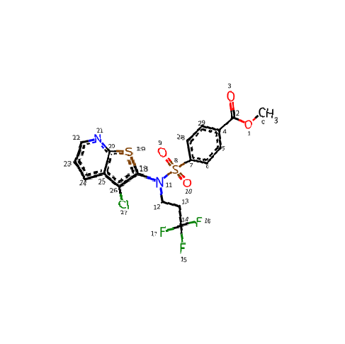 COC(=O)c1ccc(S(=O)(=O)N(CCC(F)(F)F)c2sc3ncccc3c2Cl)cc1